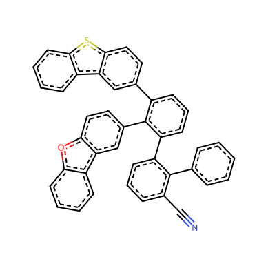 N#Cc1cccc(-c2cccc(-c3ccc4sc5ccccc5c4c3)c2-c2ccc3oc4ccccc4c3c2)c1-c1ccccc1